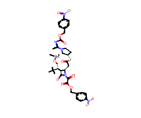 CC(=NC(=O)OCc1ccc([N+](=O)[O-])cc1)N1CC[C@H](SC(=O)C[C@@H]2[C@H]([C@@H](CO[SiH](C)C)C(C)(C)C)C(=O)N2C(=O)C(=O)OCc2ccc([N+](=O)[O-])cc2)C1